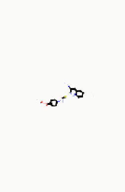 CCOC(=O)c1ccc(NC(=O)CSc2nc3ccc(C)cc3cc2C#N)cc1